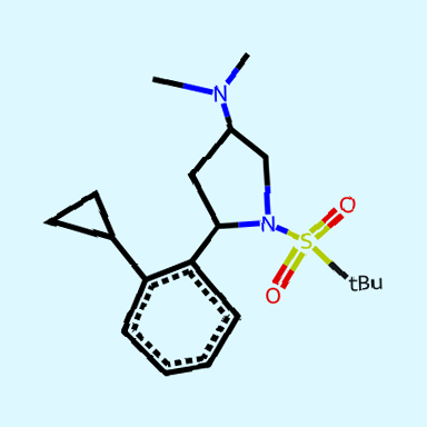 CN(C)C1CC(c2ccccc2C2CC2)N(S(=O)(=O)C(C)(C)C)C1